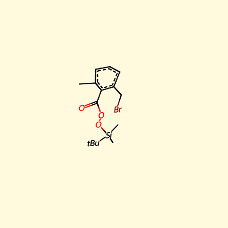 Cc1cccc(CBr)c1C(=O)OO[Si](C)(C)C(C)(C)C